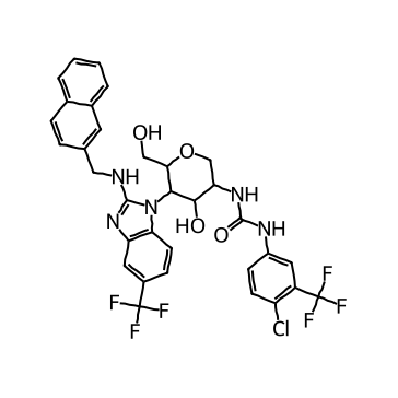 O=C(Nc1ccc(Cl)c(C(F)(F)F)c1)NC1COC(CO)C(n2c(NCc3ccc4ccccc4c3)nc3cc(C(F)(F)F)ccc32)C1O